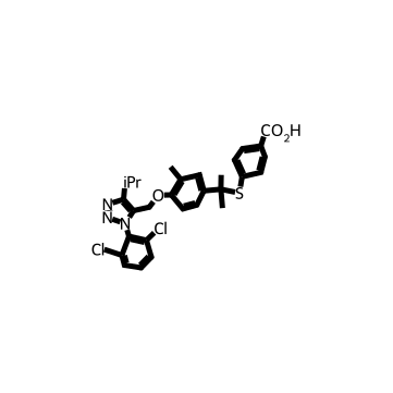 Cc1cc(C(C)(C)Sc2ccc(C(=O)O)cc2)ccc1OCc1c(C(C)C)nnn1-c1c(Cl)cccc1Cl